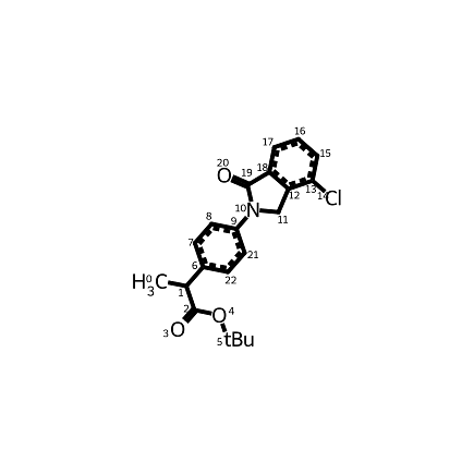 CC(C(=O)OC(C)(C)C)c1ccc(N2Cc3c(Cl)cccc3C2=O)cc1